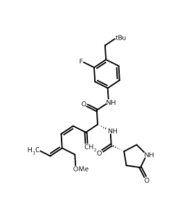 C=C(/C=C\C(=C/C)COC)[C@@H](NC(=O)[C@@H]1CNC(=O)C1)C(=O)Nc1ccc(CC(C)(C)C)c(F)c1